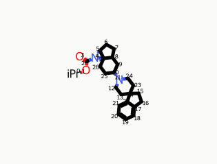 CC(C)OC(=O)N1C2CCC3CC(N4CCC5(CCc6ccccc65)CC4)CCC321